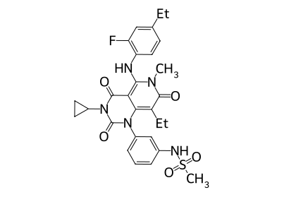 CCc1ccc(Nc2c3c(=O)n(C4CC4)c(=O)n(-c4cccc(NS(C)(=O)=O)c4)c3c(CC)c(=O)n2C)c(F)c1